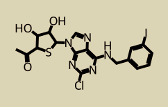 CC(=O)C1SC(n2cnc3c(NCc4cccc(I)c4)nc(Cl)nc32)C(O)C1O